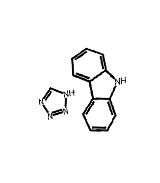 c1ccc2c(c1)[nH]c1ccccc12.c1nnn[nH]1